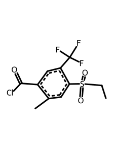 CCS(=O)(=O)c1cc(C)c(C(=O)Cl)cc1C(F)(F)F